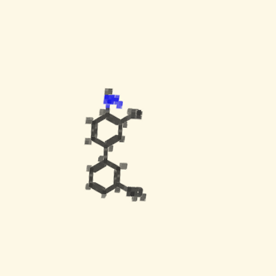 CCc1cc(-c2cccc([N+](=O)[O-])c2)ccc1N